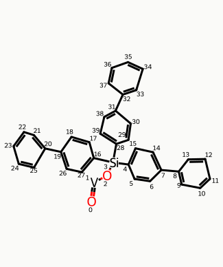 [O]=[V][O][Si](c1ccc(-c2ccccc2)cc1)(c1ccc(-c2ccccc2)cc1)c1ccc(-c2ccccc2)cc1